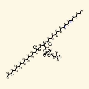 CCCCC/C=C/C/C=C/CCCCCCCC(=O)OC(COC(=O)CCCCCCCCCCCCCCC)COP(=O)([O-])OCC[N+](C)(C)C